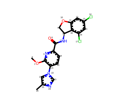 COc1nc(C(=O)N[C@H]2COc3cc(Cl)cc(Cl)c32)ccc1-n1cnc(C)c1